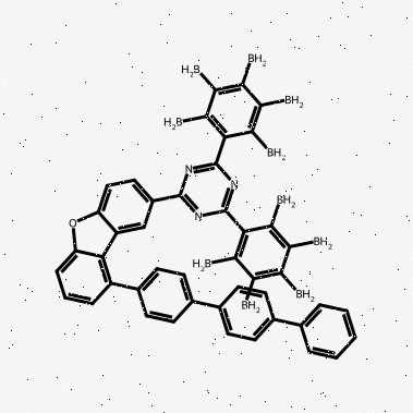 Bc1c(B)c(B)c(-c2nc(-c3ccc4oc5cccc(-c6ccc(-c7ccc(-c8ccccc8)cc7)cc6)c5c4c3)nc(-c3c(B)c(B)c(B)c(B)c3B)n2)c(B)c1B